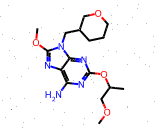 COCC(C)Oc1nc(N)c2nc(OC)n(CC3CCCOC3)c2n1